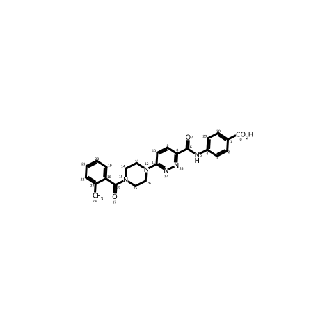 O=C(O)c1ccc(NC(=O)c2ccc(N3CCN(C(=O)c4ccccc4C(F)(F)F)CC3)nn2)cc1